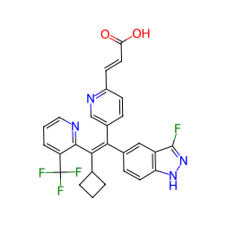 O=C(O)C=Cc1ccc(C(=C(c2ncccc2C(F)(F)F)C2CCC2)c2ccc3[nH]nc(F)c3c2)cn1